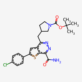 CC(C)(C)OC(=O)N1CCC(Cc2nnc(C(N)=O)c3sc(-c4ccc(Cl)cc4)cc23)C1